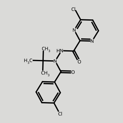 CC(C)(C)N(NC(=O)c1nccc(Cl)n1)C(=O)c1cccc(Cl)c1